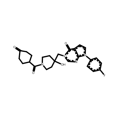 O=C1CCC(C(=O)N2CCC(O)(Cn3cnc4c(ccn4-c4ccc(F)cc4)c3=O)CC2)CC1